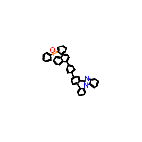 O=P(c1ccccc1)(c1ccccc1)c1cccc2c(-c3ccc(-c4ccc5c6ccccc6n6c7ccccc7nc6c5c4)cc3)cccc12